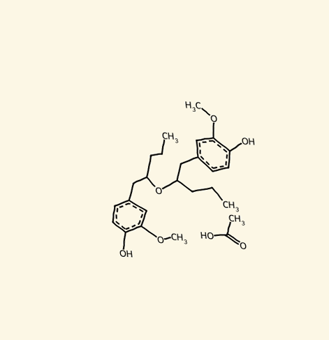 CC(=O)O.CCCC(Cc1ccc(O)c(OC)c1)OC(CCC)Cc1ccc(O)c(OC)c1